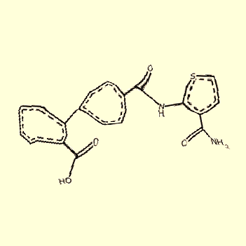 NC(=O)c1ccsc1NC(=O)c1ccc(-c2ccccc2C(=O)O)cc1